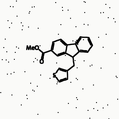 COC(=O)c1ccc2c(c1)C(Cc1ccsc1)c1ccccc1-2